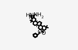 CC1(C)CC[C@]2(C(=O)OCc3ccccc3)CC[C@]3(C)C(=CCC4[C@@]5(C)Cc6c(n[nH]c6N)C(C)(C)C5CC[C@]43C)C2C1